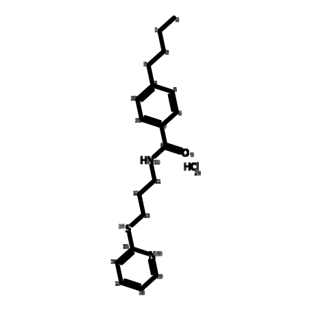 CCCCc1ccc(C(=O)NCCCSc2ccccn2)cc1.Cl